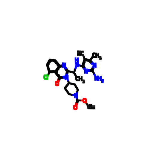 Cc1nc(N)nc(NC(C)c2nc3cccc(Cl)c3c(=O)n2C2CCN(C(=O)OC(C)(C)C)CC2)c1C#N